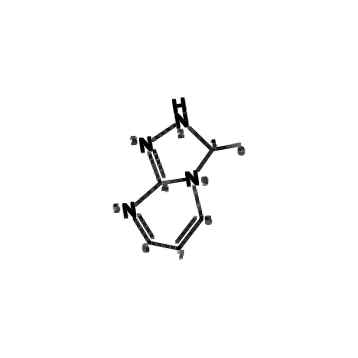 CC1NN=C2N=CC=CN21